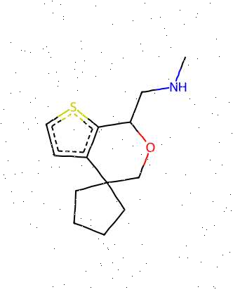 CNCC1OCC2(CCCC2)c2ccsc21